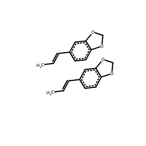 C/C=C/c1ccc2c(c1)OCO2.C/C=C/c1ccc2c(c1)OCO2